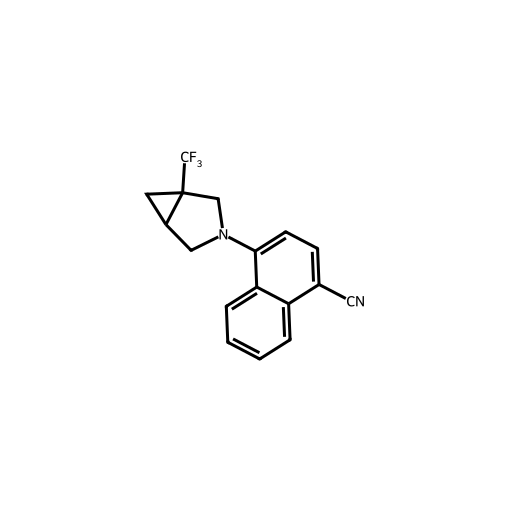 N#Cc1ccc(N2CC3CC3(C(F)(F)F)C2)c2ccccc12